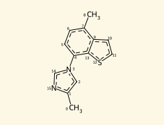 Cc1cn(-c2ccc(C)c3ccsc23)cn1